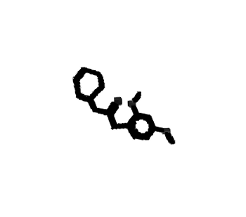 COc1ccc(CC(=O)CC2CCCCC2)c(OC)c1